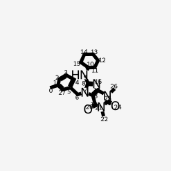 Cc1cccc(Cn2c(NC3CCCCC3)nc3c2c(=O)n(C)c(=O)n3C)c1